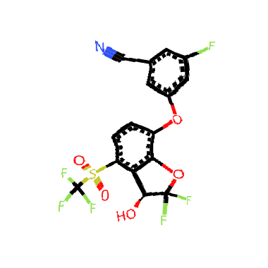 N#Cc1cc(F)cc(Oc2ccc(S(=O)(=O)C(F)(F)F)c3c2OC(F)(F)[C@H]3O)c1